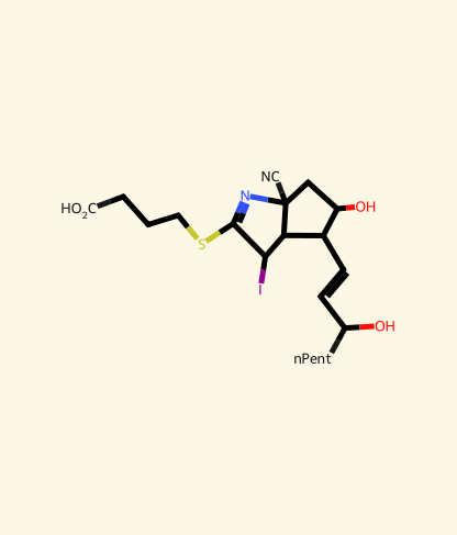 CCCCCC(O)C=CC1C(O)CC2(C#N)N=C(SCCCC(=O)O)C(I)C12